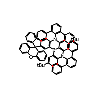 CC(C)(C)c1ccc2c(c1)B1c3cc4c(cc3N(c3c(-c5ccccc5)cccc3-c3ccccc3)c3cc(C(C)(C)C)cc(c31)N2c1c(-c2ccccc2)cccc1-c1ccccc1)-c1ccccc1C41c2ccccc2Oc2ccccc21